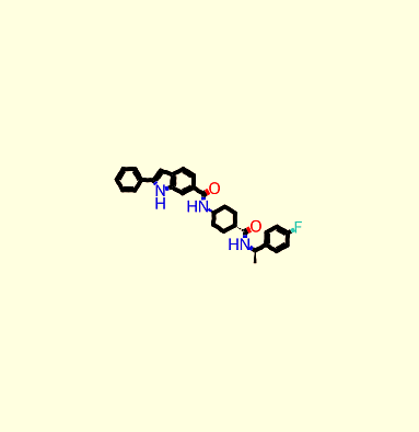 C[C@@H](NC(=O)[C@H]1CC[C@H](NC(=O)c2ccc3cc(-c4ccccc4)[nH]c3c2)CC1)c1ccc(F)cc1